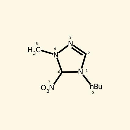 CCCCN1C=NN(C)C1[N+](=O)[O-]